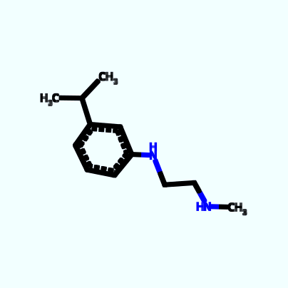 CNCCNc1cccc(C(C)C)c1